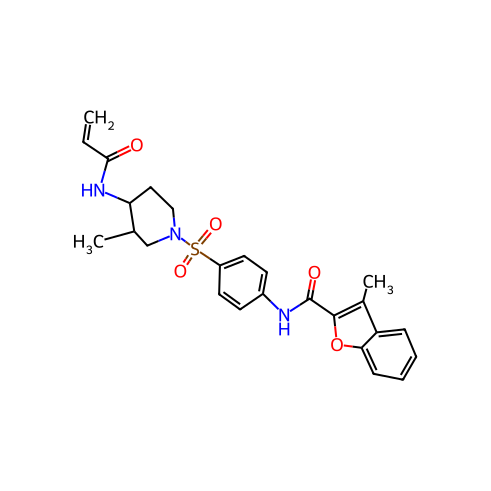 C=CC(=O)NC1CCN(S(=O)(=O)c2ccc(NC(=O)c3oc4ccccc4c3C)cc2)CC1C